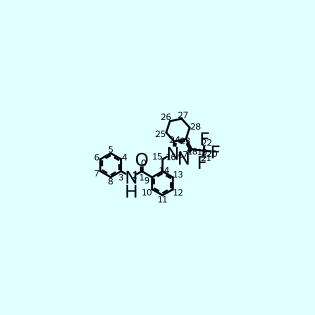 O=C(Nc1ccccc1)c1ccccc1Cn1nc(C(F)(F)F)c2c1CCCC2